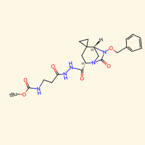 CC(C)(C)OC(=O)NCCC(=O)NNC(=O)[C@@H]1CC2(CC2)[C@H]2CN1C(=O)N2OCc1ccccc1